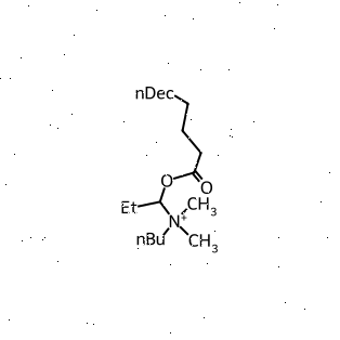 CCCCCCCCCCCCCC(=O)OC(CC)[N+](C)(C)CCCC